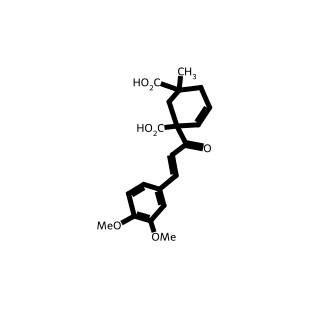 COc1ccc(/C=C/C(=O)C2(C(=O)O)C=CCC(C)(C(=O)O)C2)cc1OC